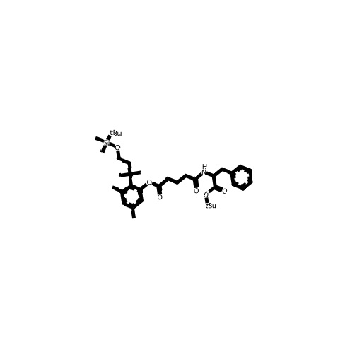 Cc1cc(C)c(C(C)(C)CCO[Si](C)(C)C(C)(C)C)c(OC(=O)CCCC(=O)NC(Cc2ccccc2)C(=O)OC(C)(C)C)c1